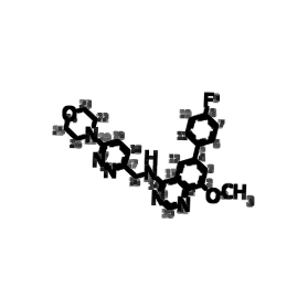 COc1cc(-c2ccc(F)cc2)cc2c(NCc3ccc(N4CCOCC4)nn3)ncnc12